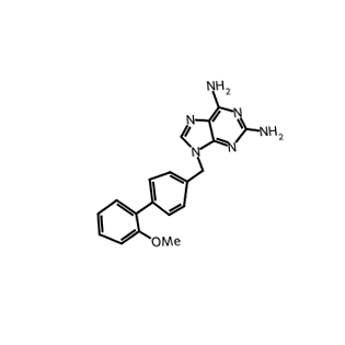 COc1ccccc1-c1ccc(Cn2cnc3c(N)nc(N)nc32)cc1